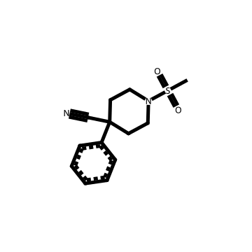 CS(=O)(=O)N1CCC(C#N)(c2ccccc2)CC1